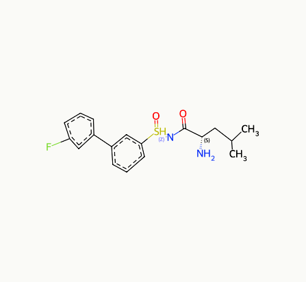 CC(C)C[C@H](N)C(=O)/N=[SH](=O)/c1cccc(-c2cccc(F)c2)c1